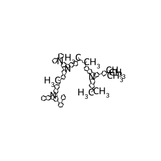 CC(C)c1ccc2cc3c(cc2c1)c1cc(-c2ccc(C(C)(C)C)cc2)cc2c4cc5cc(C(C)CCC(C)c6ccc7cc8c(cc7c6)c6cc(-n7c9ccccc9c9ccccc97)cc7c9cc%10cc(C(C)Cc%11ccc%12cc%13c(cc%12c%11)c%11cc(-c%12ccccc%12-c%12ccccc%12)cc%12c%14cc%15ccccc%15cc%14n%13c%12%11)ccc%10cc9n8c67)ccc5cc4n3c12